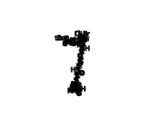 CC(C)(C)OC(=O)N1CCN(c2nc(NCCOCCOCCNC(=O)CCCC[C@@H]3SC[C@@H]4NC(=O)N[C@@H]43)nc3c(F)c(Br)c(Cl)cc23)CC1